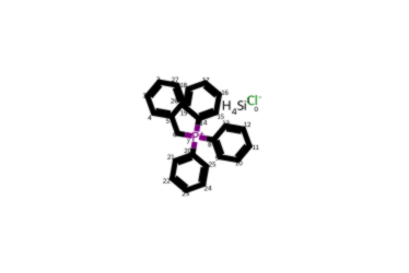 [Cl-].[SiH4].c1ccc(C[P+](c2ccccc2)(c2ccccc2)c2ccccc2)cc1